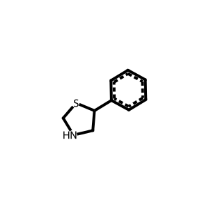 c1ccc(C2CNCS2)cc1